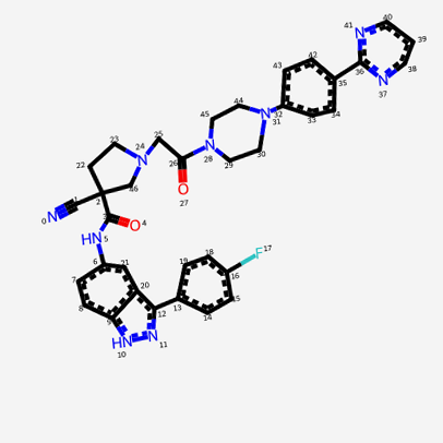 N#CC1(C(=O)Nc2ccc3[nH]nc(-c4ccc(F)cc4)c3c2)CCN(CC(=O)N2CCN(c3ccc(-c4ncccn4)cc3)CC2)C1